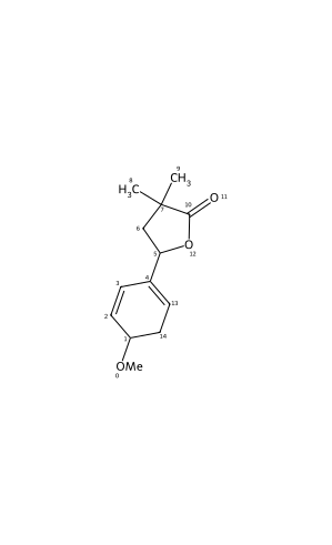 COC1C=CC(C2CC(C)(C)C(=O)O2)=CC1